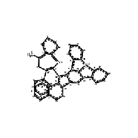 CC1=c2ccccc2=NC(n2c3c4ccccc4ccc3c3cc4c5ccccc5n5c6ccccc6c(c32)c45)=C(c2ccccc2)C1